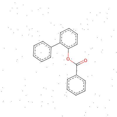 O=C(Oc1ccccc1-c1ccccc1)c1ccccc1